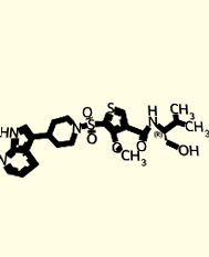 COc1c(C(=O)N[C@@H](CO)C(C)C)csc1S(=O)(=O)N1CCC(c2c[nH]c3ncccc23)CC1